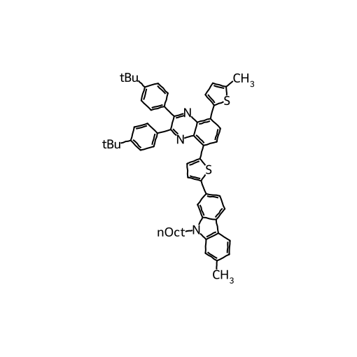 CCCCCCCCn1c2cc(C)ccc2c2ccc(-c3ccc(-c4ccc(-c5ccc(C)s5)c5nc(-c6ccc(C(C)(C)C)cc6)c(-c6ccc(C(C)(C)C)cc6)nc45)s3)cc21